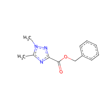 Cc1nc(C(=O)OCc2ccccc2)nn1C